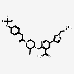 CSCn1cc(-c2cnc(O[C@H]3CCN(C(=O)Cc4ccc(OC(F)(F)F)cc4)CC3F)c(C(N)=O)c2)cn1